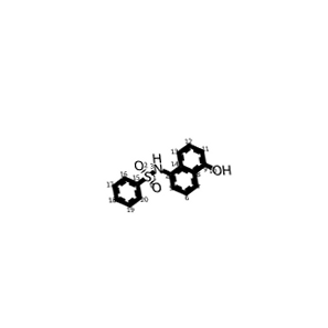 O=S(=O)(Nc1cccc2c(O)cccc12)c1ccccc1